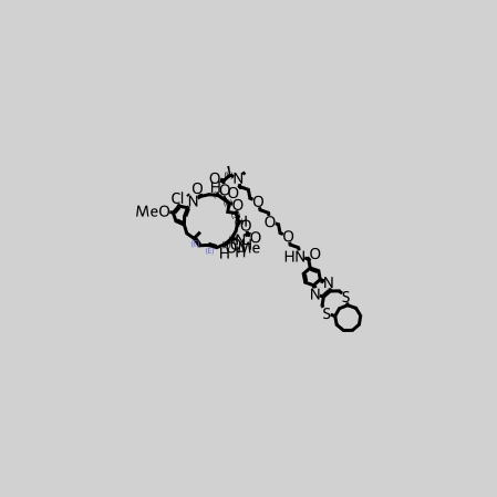 COc1cc2cc(c1Cl)N(C)C(=O)C[C@H](OC(=O)[C@@H](C)N(C)C(=O)CCOCCOCCOCCNC(=O)c1ccc3nc4c(nc3c1)CSC1CCCCCCC(C1)SC4)[C@@]1(C)C[C@](C)(O1)[C@@H]1C[C@@](O)(NC(=O)O1)[C@H](OC)/C=C/C=C(\C)C2